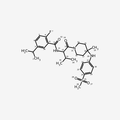 CC(C)c1ccc(F)c(C(=O)NC(C(=O)N2CCC(C)(Nc3ccc(S(C)(=O)=O)cc3)CC2)C(C)C)c1